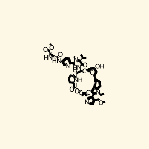 CCn1c(-c2cnccc2COC)c2c3cc(ccc31)-c1cc(O)cc(c1)C[C@H](NC(=O)[C@H](C(C)C)N(C)C(=O)c1ccc(NC(=O)[C@@H]3N[C@H]3C(=O)OC)cn1)C(=O)N1CCC[C@H](N1)C(=O)OCC(C)(C)C2